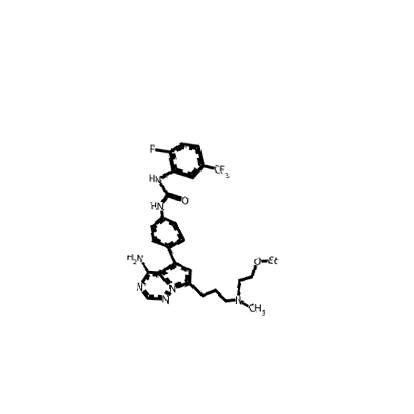 CCOCCN(C)CCCc1cc(-c2ccc(NC(=O)Nc3cc(C(F)(F)F)ccc3F)cc2)c2c(N)ncnn12